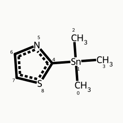 [CH3][Sn]([CH3])([CH3])[c]1nccs1